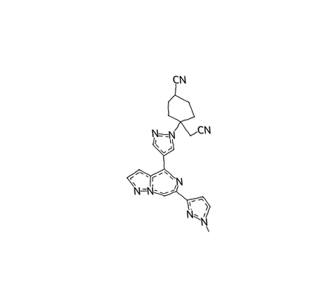 Cn1ccc(-c2cn3nccc3c(-c3cnn(C4(CC#N)CCC(C#N)CC4)c3)n2)n1